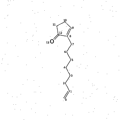 C=CCCCCCCC1=CCCC1=O